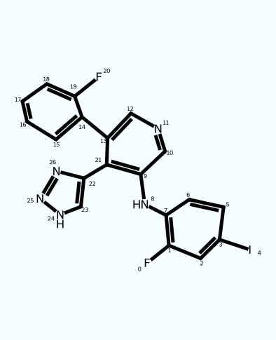 Fc1cc(I)ccc1Nc1cncc(-c2ccccc2F)c1-c1c[nH]nn1